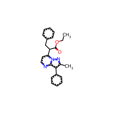 CCOC(=O)C(Cc1ccccc1)c1ccnc2c(-c3ccccc3)c(C)nn12